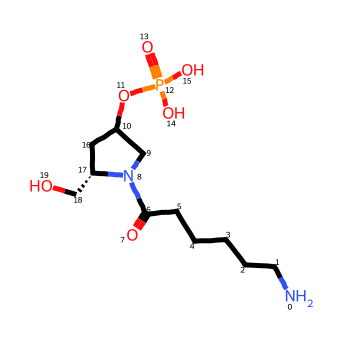 NCCCCCC(=O)N1CC(OP(=O)(O)O)C[C@H]1CO